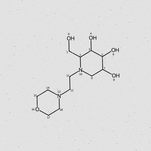 OCC1C(O)C(O)C(O)CN1CCN1CCOCC1